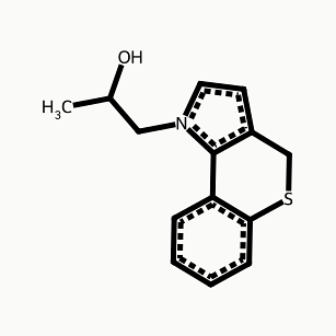 CC(O)Cn1ccc2c1-c1ccccc1SC2